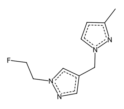 Cc1ccn(Cc2cnn(CCF)c2)n1